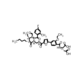 CCCCC[C@@H](C(=O)NCNC(=O)c1ccc(-c2ccc(C(=O)N[C@@H](CC(=O)O)C(=O)O)c(OCC)c2)o1)[C@@H](CC)N(C=O)OC(=O)c1ccc(F)cc1C